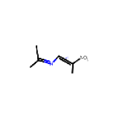 CC(C)=N/C=C(\C)[N+](=O)[O-]